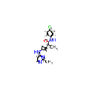 Cc1nccc(NC23CC(C(C)C(=O)Nc4ccc(Cl)cc4)(C2)C3)n1